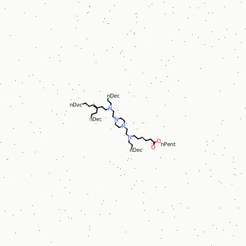 CCCCCCCCCCCC/C=C(\CCCCCCCCCCCC)CCN(CCCCCCCCCCCC)CCN1CCN(CCN(CCCCCCCCCCCC)CCCCCC(=O)OCCCCC)CC1